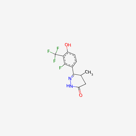 CC1CC(=O)NN=C1c1ccc(O)c(C(F)(F)F)c1F